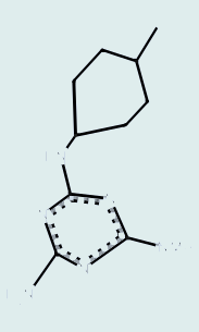 CNc1nc(N)nc(NC2CCC(C)CC2)n1